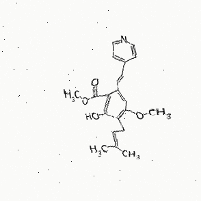 COC(=O)c1c(/C=C/c2ccncc2)cc(OC)c(CC=C(C)C)c1O